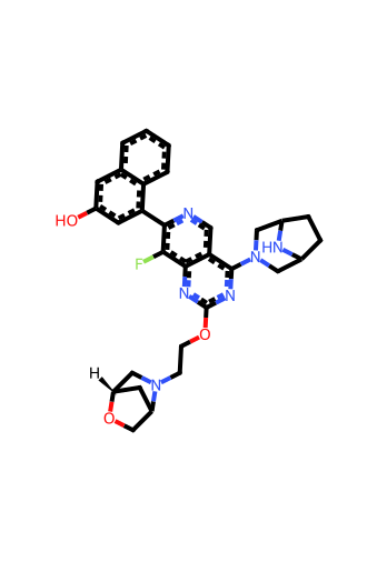 Oc1cc(-c2ncc3c(N4CC5CCC(C4)N5)nc(OCCN4C[C@@H]5CC4CO5)nc3c2F)c2ccccc2c1